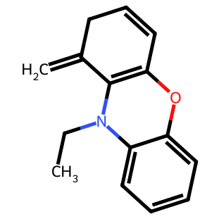 C=C1CC=CC2=C1N(CC)c1ccccc1O2